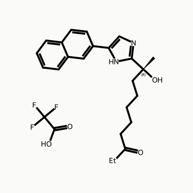 CCC(=O)CCCCC[C@@](C)(O)c1ncc(-c2ccc3ccccc3c2)[nH]1.O=C(O)C(F)(F)F